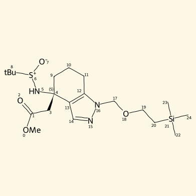 COC(=O)C[C@@]1(N[S+]([O-])C(C)(C)C)CCCc2c1cnn2COCC[Si](C)(C)C